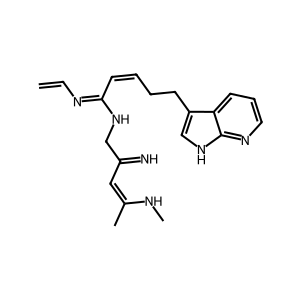 C=C/N=C(\C=C/CCc1c[nH]c2ncccc12)NCC(=N)/C=C(/C)NC